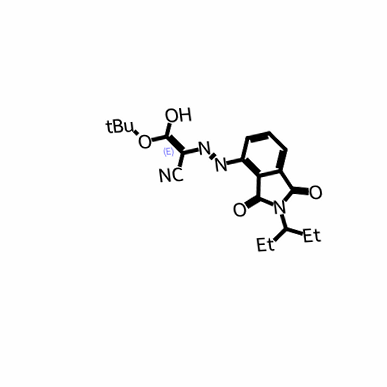 CCC(CC)N1C(=O)c2cccc(N=N/C(C#N)=C(\O)OC(C)(C)C)c2C1=O